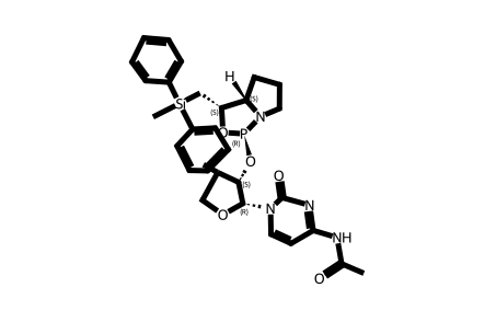 CC(=O)Nc1ccn([C@@H]2OCC(C)[C@@H]2O[P@@]2O[C@H](C[Si](C)(c3ccccc3)c3ccccc3)[C@@H]3CCCN32)c(=O)n1